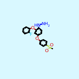 CS(=O)(=O)c1ccc(Oc2ccc(NN)c(Oc3ccccc3F)c2)cc1